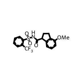 COc1cccc2c1CCC2C(=O)NS(=O)(=O)c1ccccc1C(F)(F)F